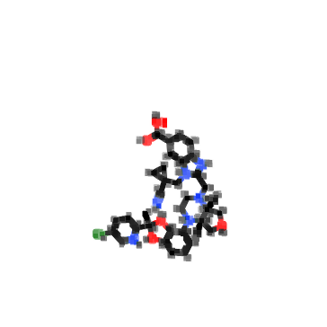 C[C@]1(c2ccc(Cl)cn2)Oc2cccc(N3CCN(Cc4nc5ccc(C(=O)O)cc5n4CC4(C#N)CC4)[C@@H]4COC[C@@H]43)c2O1